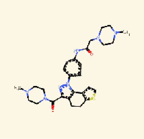 CN1CCN(CC(=O)Nc2ccc(-n3nc(C(=O)N4CCN(C)CC4)c4c3-c3ccsc3CC4)cc2)CC1